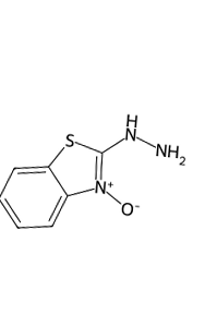 NNc1sc2ccccc2[n+]1[O-]